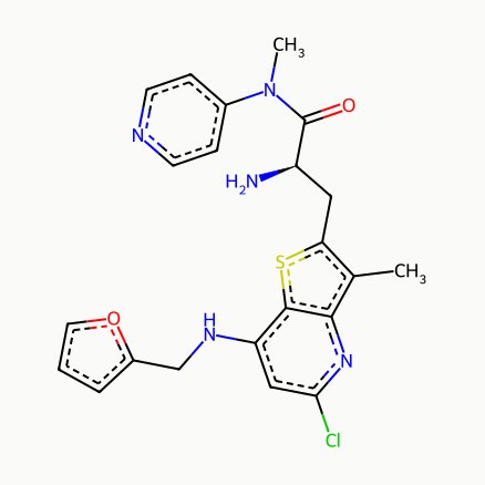 Cc1c(C[C@@H](N)C(=O)N(C)c2ccncc2)sc2c(NCc3ccco3)cc(Cl)nc12